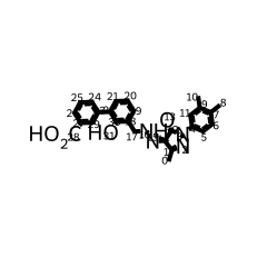 CC1=NN(c2ccc(C)c(C)c2)C(=O)/C1=N\NCc1cccc(-c2cccc(C(=O)O)c2)c1O